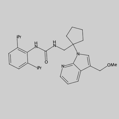 COCc1cn(C2(CNC(=O)Nc3c(C(C)C)cccc3C(C)C)CCCC2)c2ncccc12